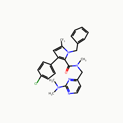 CN(Cc1ccnc(N(C)C)n1)C(=O)c1c(-c2ccc(Cl)cc2)cc(C(F)(F)F)n1Cc1ccccc1